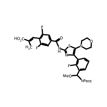 CCCCCC(OC)c1cccc(-c2nc(NC(=O)c3cc(F)c(C=C(C)C(=O)O)c(F)c3)sc2N2CCOCC2)c1F